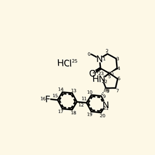 CN1CCC[C@]2(CC[C@H](c3cc(-c4ccc(F)cc4)ccn3)N2)C1=O.Cl